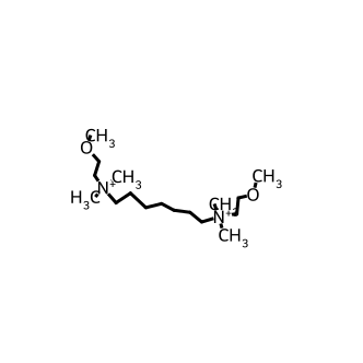 COCC[N+](C)(C)CCCCCCC[N+](C)(C)CCOC